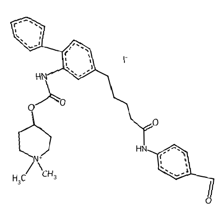 C[N+]1(C)CCC(OC(=O)Nc2cc(CCCCC(=O)Nc3ccc(C=O)cc3)ccc2-c2ccccc2)CC1.[I-]